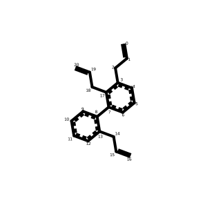 C=CCc1[c]ccc(-c2ccccc2CC=C)c1CC=C